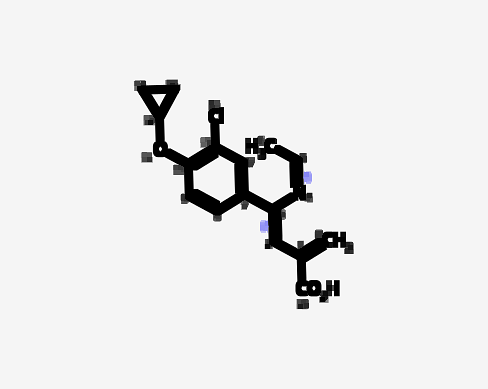 C=C(/C=C(\N=C/C)c1ccc(OC2CC2)c(Cl)c1)C(=O)O